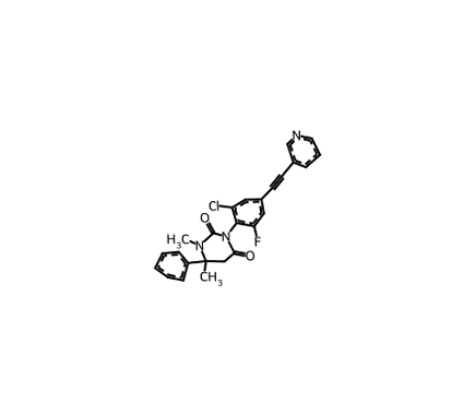 CN1C(=O)N(c2c(F)cc(C#Cc3cccnc3)cc2Cl)C(=O)CC1(C)c1ccccc1